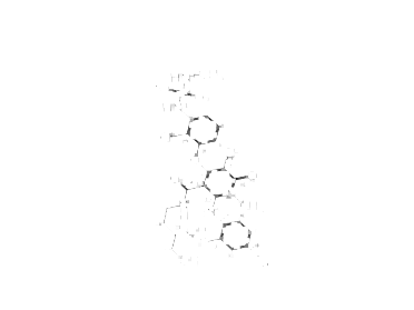 CNS(=O)(=O)Nc1cccc(Oc2c(C(=O)NCC[C@H](O)CO)c(Nc3ccc(I)cc3F)n(C)c(=O)c2C)c1Cl